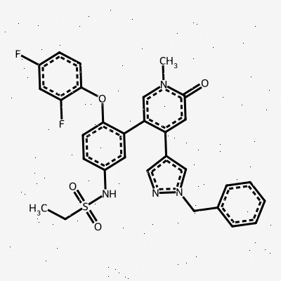 CCS(=O)(=O)Nc1ccc(Oc2ccc(F)cc2F)c(-c2cn(C)c(=O)cc2-c2cnn(Cc3ccccc3)c2)c1